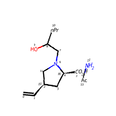 C=C[C@@H]1C[C@H](C(=O)O)N(CC(O)CCC)C1.CC(N)=O